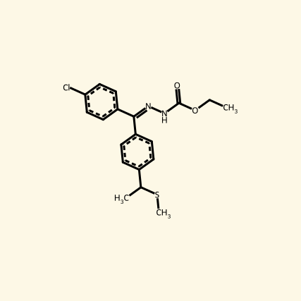 CCOC(=O)NN=C(c1ccc(Cl)cc1)c1ccc(C(C)SC)cc1